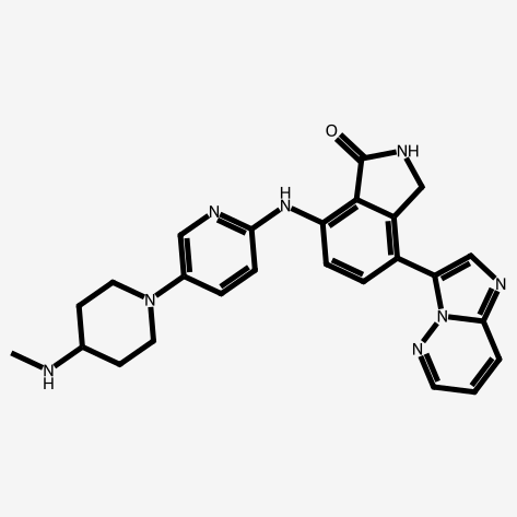 CNC1CCN(c2ccc(Nc3ccc(-c4cnc5cccnn45)c4c3C(=O)NC4)nc2)CC1